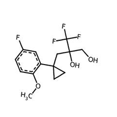 COc1ccc(F)cc1C1(CC(O)(CO)C(F)(F)F)CC1